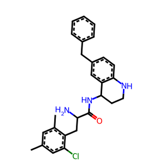 Cc1cc(C)c(CC(N)C(=O)NC2CCNc3ccc(Cc4ccccc4)cc32)c(Cl)c1